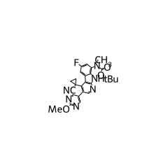 COc1ncc(-c2cnc3[nH]c4c(N(C)C(=O)OC(C)(C)C)cc(F)cc4c3c2C2(C#N)CC2)cn1